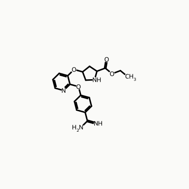 CCOC(=O)C1CC(Oc2cccnc2Oc2ccc(C(=N)N)cc2)CN1